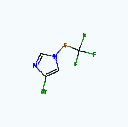 FC(F)(F)Sn1cnc(Br)c1